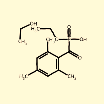 CCO.CCOP(=O)(O)C(=O)c1c(C)cc(C)cc1C